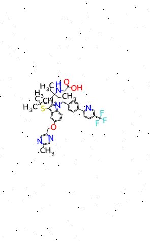 CCC(CC)(Cc1c(SC(C)(C)C)c2cc(OCc3cnc(C)cn3)ccc2n1Cc1ccc(-c2ccc(C(F)(F)F)cn2)cc1)NCC(=O)O